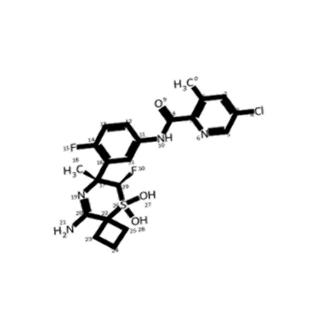 Cc1cc(Cl)cnc1C(=O)Nc1ccc(F)c([C@@]2(C)N=C(N)C3(CCC3)S(O)(O)[C@@H]2F)c1